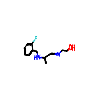 CC(/C=N/CCO)NCc1ccccc1F